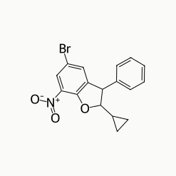 O=[N+]([O-])c1cc(Br)cc2c1OC(C1CC1)C2c1ccccc1